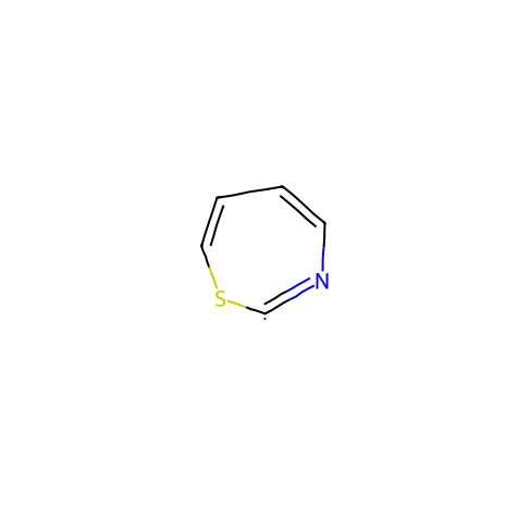 [C]1=NC=CC=CS1